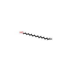 OCCCCCCCCCCCCCCCC[CH2][Na]